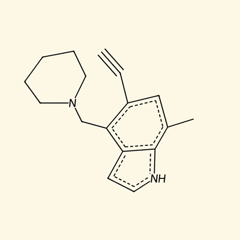 C#Cc1cc(C)c2[nH]ccc2c1CN1CCCCC1